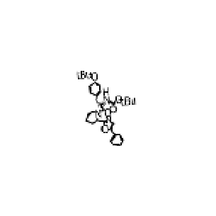 CC(C)(C)OC(=O)N[C@@H](Cc1ccc(OC(C)(C)C)cc1)C(=O)N1CCCCC1c1ncc(-c2ccccc2)o1